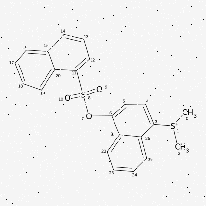 C[S+](C)c1ccc(OS(=O)(=O)c2cccc3ccccc23)c2ccccc12